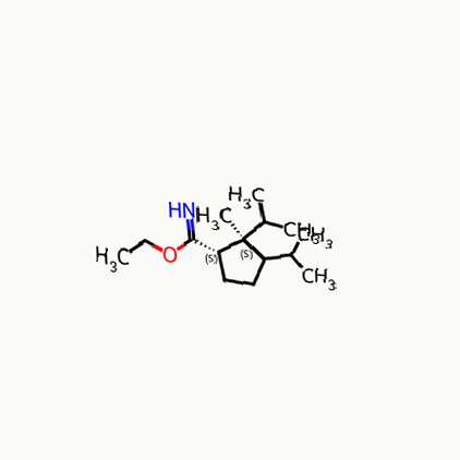 CCOC(=N)[C@H]1CCC(C(C)C)[C@]1(C)C(C)C